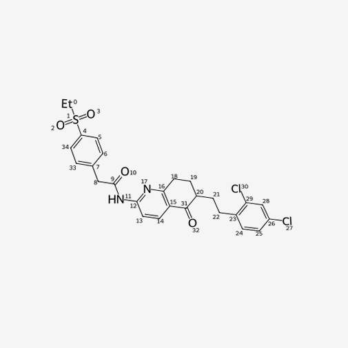 CCS(=O)(=O)c1ccc(CC(=O)Nc2ccc3c(n2)CCC(CCc2ccc(Cl)cc2Cl)C3=O)cc1